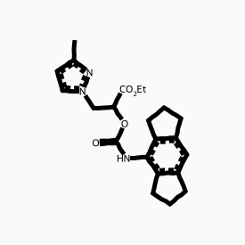 CCOC(=O)C(Cn1ccc(C)n1)OC(=O)Nc1c2c(cc3c1CCC3)CCC2